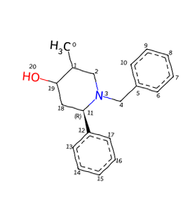 CC1CN(Cc2ccccc2)[C@@H](c2ccccc2)CC1O